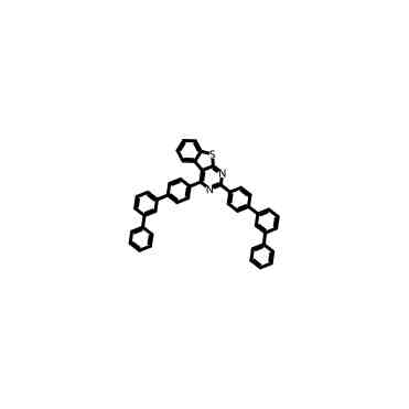 c1ccc(-c2cccc(-c3ccc(-c4nc(-c5ccc(-c6cccc(-c7ccccc7)c6)cc5)c5c(n4)sc4ccccc45)cc3)c2)cc1